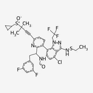 CCSNc1nn(CC(F)(F)F)c2c(-c3ccc(C#CC(C)(C)[S+]([O-])C4CC4)nc3C(Cc3cc(F)cc(F)c3)NC=O)ccc(Cl)c12